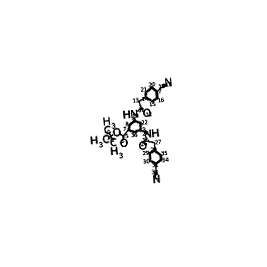 CC(C)(C)OC(=O)c1cc(NC(=O)Cc2ccc(C#N)cc2)cc(NC(=O)Cc2ccc(C#N)cc2)c1